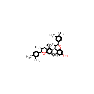 Cc1ccc(C2Oc3cc(C)c([C@H]4c5c(C)cc(O)cc5OC(c5ccc(C)c(C)c5)C4C)c(C)c3CC2C)cc1C